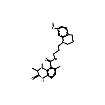 COc1ccc2c(c1)N(CCCNC(=O)c1c(F)ccc3c1NC(C)C(=O)N3)CCC2